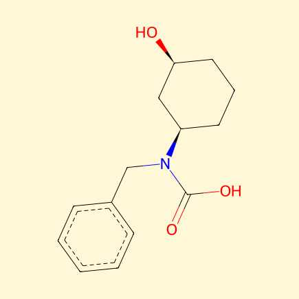 O=C(O)N(Cc1ccccc1)[C@@H]1CCC[C@H](O)C1